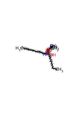 CCC/C=C\CCCCCCCC/C=C/[C@@H](O)[C@H](COP(=O)([O-])OCC[N+](C)(C)C)NC(=O)CCCCCCCCCCCCCCCCCCCCC